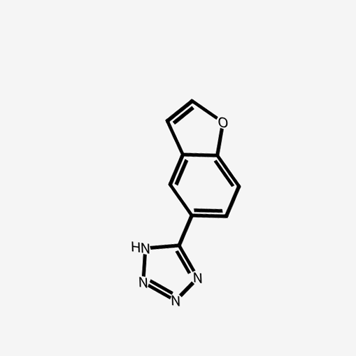 c1cc2cc(-c3nnn[nH]3)ccc2o1